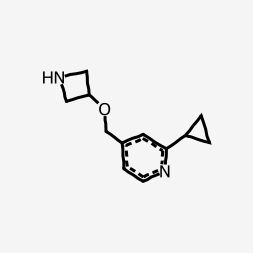 c1cc(COC2CNC2)cc(C2CC2)n1